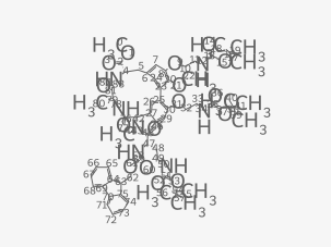 COC(=O)[C@@H]1Cc2cc(OCCNC(=O)OC(C)(C)C)c(OC)c(c2)-c2cc(ccc2OCCNC(=O)OC(C)(C)C)[C@H](N(C)C(=O)[C@H](CCNC(=O)OC(C)(C)C)NC(=O)OCC2c3ccccc3-c3ccccc32)C(=O)N[C@@H](C)C(=O)N1